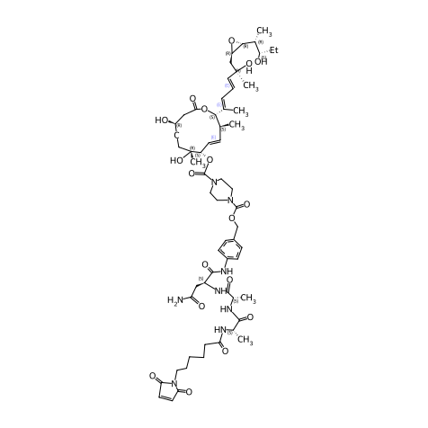 CC[C@H](O)[C@@H](C)[C@H]1O[C@@H]1C[C@@](C)(O)/C=C/C=C(\C)[C@H]1OC(=O)C[C@H](O)CC[C@@](C)(O)[C@@H](OC(=O)N2CCN(C(=O)OCc3ccc(NC(=O)[C@H](CC(N)=O)NC(=O)[C@H](C)NC(=O)[C@H](C)NC(=O)CCCCCN4C(=O)C=CC4=O)cc3)CC2)/C=C/[C@@H]1C